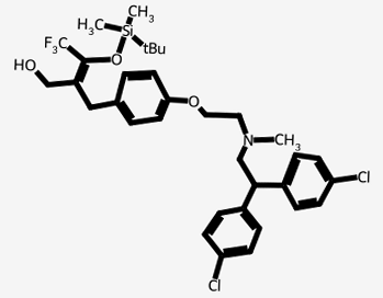 CN(CCOc1ccc(CC(CO)=C(O[Si](C)(C)C(C)(C)C)C(F)(F)F)cc1)CC(c1ccc(Cl)cc1)c1ccc(Cl)cc1